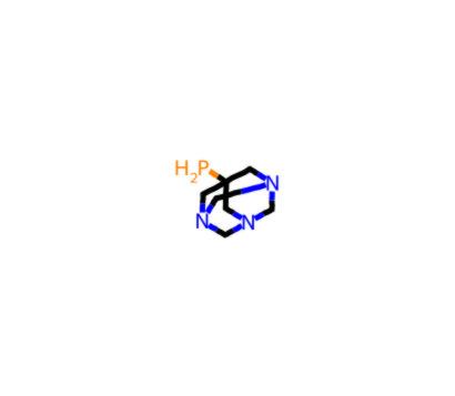 PC12CN3CN(CN(C3)C1)C2